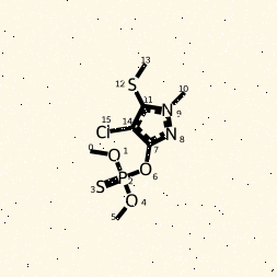 COP(=S)(OC)Oc1nn(C)c(SC)c1Cl